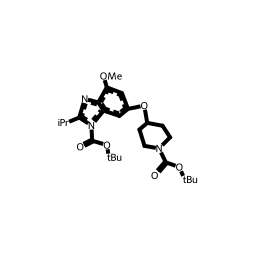 COc1cc(OC2CCN(C(=O)OC(C)(C)C)CC2)cc2c1nc(C(C)C)n2C(=O)OC(C)(C)C